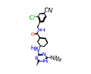 CNc1nc(C)nc(NC2CCCC(C(=O)NCc3ccc(C#N)cc3Cl)C2)n1